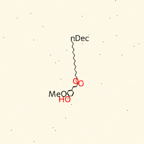 CCCCCCCCCCCCCCCCCCCCCCCCOC(=O)C=Cc1ccc(O)c(OC)c1